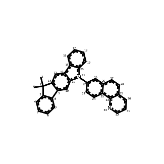 CC1(C)c2ccccc2-c2cc3c(cc21)c1ccccc1n3-c1ccc2c(ccc3cccnc32)c1